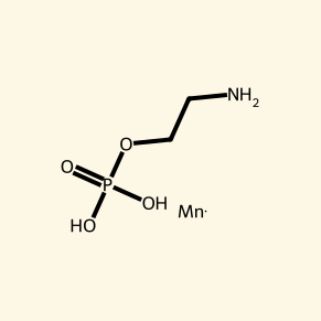 NCCOP(=O)(O)O.[Mn]